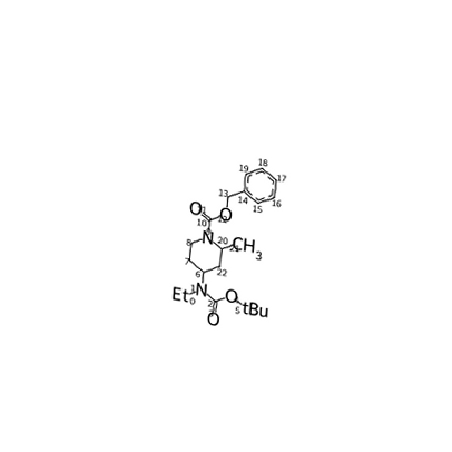 CCN(C(=O)OC(C)(C)C)C1CCN(C(=O)OCc2ccccc2)C(C)C1